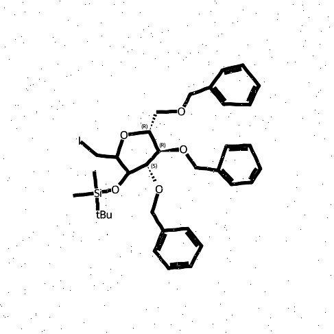 CC(C)(C)[Si](C)(C)OC1C(CI)O[C@H](COCc2ccccc2)[C@@H](OCc2ccccc2)[C@@H]1OCc1ccccc1